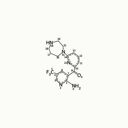 Nc1ncc(C(F)(F)F)cc1C(=O)c1cccc(N2CCCNCC2)n1